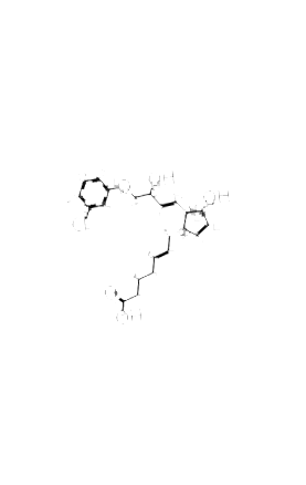 O=C(O)CCCC=CC[C@H]1C=C[C@H](O)[C@@H]1C=CC(O)COc1cccc(Cl)c1